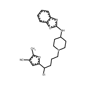 CCC(CCCN1CCC(Nc2nc3ccccc3o2)CC1)c1cc(C#N)c(C)o1